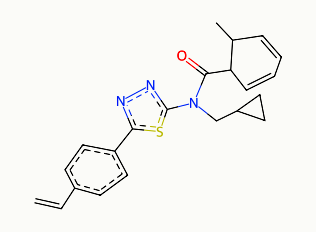 C=Cc1ccc(-c2nnc(N(CC3CC3)C(=O)C3C=CC=CC3C)s2)cc1